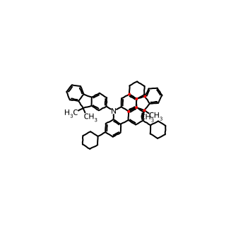 CC1(C)c2ccccc2-c2ccc(N(c3ccc4c(c3)C(C)(C)c3ccccc3-4)c3cc(C4CCCCC4)ccc3-c3cc(C4CCCCC4)cc(C4CCCCC4)c3)cc21